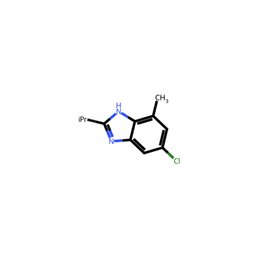 Cc1cc(Cl)cc2nc(C(C)C)[nH]c12